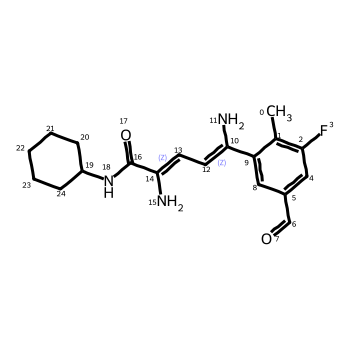 Cc1c(F)cc(C=O)cc1/C(N)=C/C=C(\N)C(=O)NC1CCCCC1